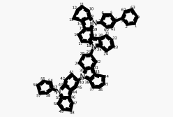 c1ccc(-c2ccc(-n3c4ccccc4c4ccc5c(c6ccccc6n5-c5ccc6c(c5)c5ccccc5n6-c5ccc6c(c5)c5ccccc5n6-c5ccccc5)c43)cc2)cc1